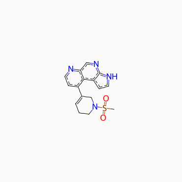 CS(=O)(=O)N1CCC=C(c2ccnc3cnc4[nH]ccc4c23)C1